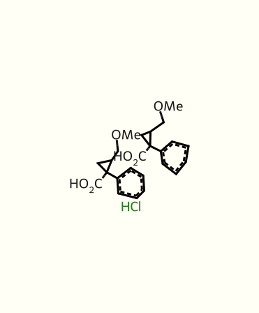 COCC1CC1(C(=O)O)c1ccccc1.COCC1CC1(C(=O)O)c1ccccc1.Cl